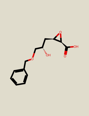 O=C(O)[C@@H]1O[C@@H]1C[C@H](O)COCc1ccccc1